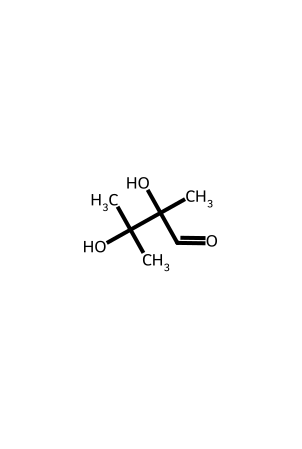 CC(C)(O)C(C)(O)C=O